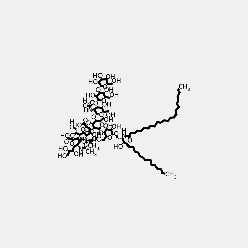 CCCCCCCC/C=C\CCCCCCCCCCCCCC(=O)N[C@@H](CO[C@@H]1OC(CO)[C@@H](O[C@@H]2OC(CO)[C@H](O[C@@H]3OC(CO)[C@H](O)[C@H](O[C@@H]4OC(CO)[C@H](O)[C@H](O[C@H]5OC(CO)[C@H](O)[C@H](O)C5O)C4O)C3NC(C)=O)[C@H](O[C@]3(C(=O)O)CC(O)[C@@H](NC(C)=O)C([C@H](O)[C@@H](CO)O[C@]4(C(=O)O)CC(O)[C@@H](NC(C)=O)C([C@H](O)[C@H](O)CO)O4)O3)C2O)[C@H](O)C1O)[C@H](O)/C=C/CCCCCCCCCCCCC